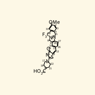 COc1ccc(Cn2ncc3cc(C=C4SC(N5CCC(C(=O)O)CC5)=NC4=O)ccc32)c(C(F)(F)F)c1